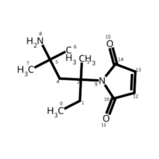 CCC(C)(CC(C)(C)N)N1C(=O)C=CC1=O